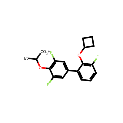 CCC(Oc1c(F)cc(-c2cccc(F)c2OC2CCC2)cc1F)C(=O)O